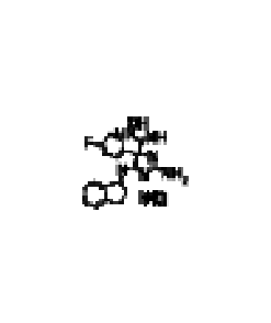 Cl.Cl.N=C(NO)C1(c2ccc(F)cc2)N=C(N)N=C1N=C1CCc2ccccc21